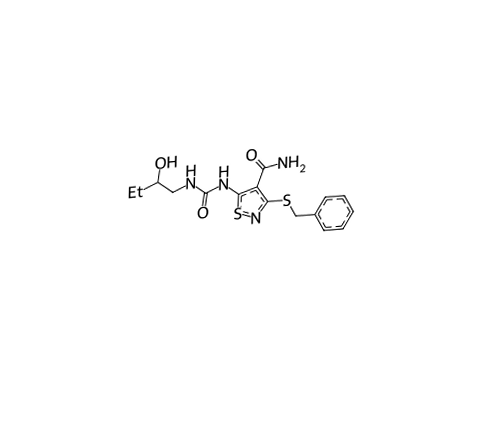 CCC(O)CNC(=O)Nc1snc(SCc2ccccc2)c1C(N)=O